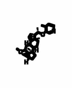 COC1C[C@H]2[C@@H]3CC[C@H]([C@H](C)Oc4cnccc4C)[C@@]3(C)CC[C@@H]2[C@@]2(C)CC[C@@H]3CC132